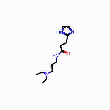 CCN(CC)CCCNC(=O)CCc1ncc[nH]1